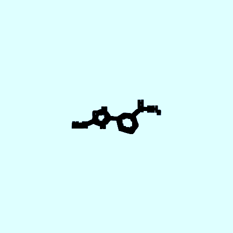 CNc1nc(-c2cccc(NN)c2)no1